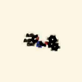 CC(=O)OC1COC(n2cc(COc3cc4ccccc4c4ccccc34)nn2)C(OC(C)=O)C1OC(C)=O